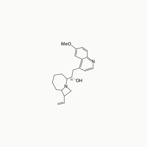 C=CC1CN2C1CCCCC2[C@@H](O)Cc1ccnc2ccc(OC)cc12